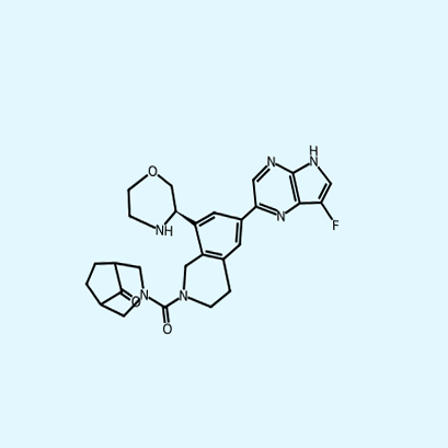 O=C1C2CCC1CN(C(=O)N1CCc3cc(-c4cnc5[nH]cc(F)c5n4)cc([C@@H]4COCCN4)c3C1)C2